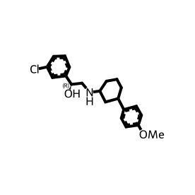 COc1ccc(C2CCCC(NC[C@H](O)c3cccc(Cl)c3)C2)cc1